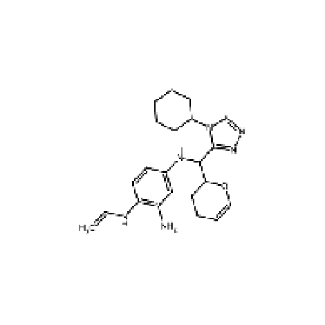 C=CNc1ccc(NC(c2nnnn2C2CCCCC2)C2CCC=CO2)cc1N